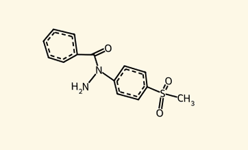 CS(=O)(=O)c1ccc(N(N)C(=O)c2ccccc2)cc1